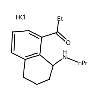 CCCNC1CCCc2cccc(C(=O)CC)c21.Cl